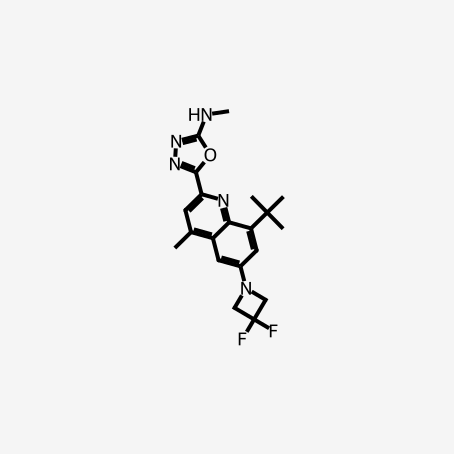 CNc1nnc(-c2cc(C)c3cc(N4CC(F)(F)C4)cc(C(C)(C)C)c3n2)o1